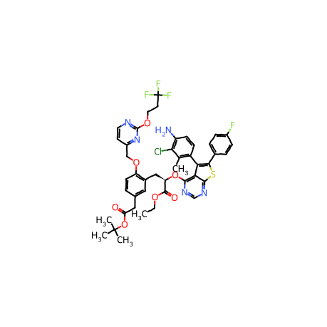 CCOC(=O)[C@@H](Cc1cc(CC(=O)OC(C)(C)C)ccc1OCc1ccnc(OCCC(F)(F)F)n1)Oc1ncnc2sc(-c3ccc(F)cc3)c(-c3ccc(N)c(Cl)c3C)c12